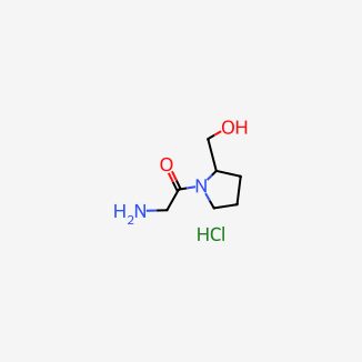 Cl.NCC(=O)N1CCCC1CO